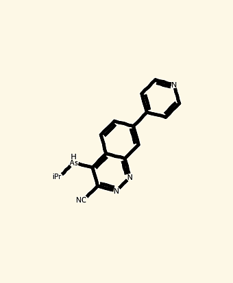 CC(C)[AsH]c1c(C#N)nnc2cc(-c3ccncc3)ccc12